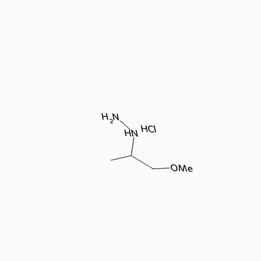 COCC(C)NN.Cl